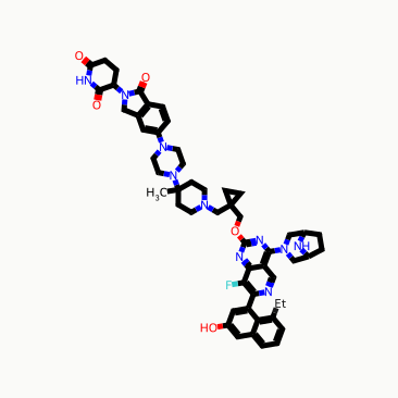 CCc1cccc2cc(O)cc(-c3ncc4c(N5CC6CCC(C5)N6)nc(OCC5(CN6CCC(C)(N7CCN(c8ccc9c(c8)CN(C8CCC(=O)NC8=O)C9=O)CC7)CC6)CC5)nc4c3F)c12